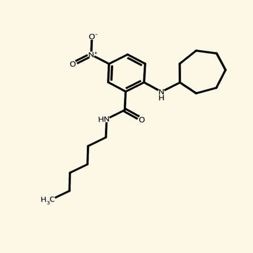 CCCCCCNC(=O)c1cc([N+](=O)[O-])ccc1NC1CCCCCC1